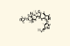 Cc1cc2cnn(-c3cnn(C)c3)c2cc1C1C[C@@H]2CN(C3COC3)C[C@@H]2C1